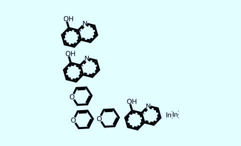 C1=CCOC=C1.C1=CCOC=C1.C1=CCOC=C1.Oc1cccc2cccnc12.Oc1cccc2cccnc12.Oc1cccc2cccnc12.[In].[In]